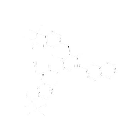 CC(=O)N(C(=O)[C@H](Cc1ccc(C(F)(F)P(=O)(O)O)cc1)NC(=O)[C@H](C)N)[C@@H](Cc1ccc(C(F)(F)P(=O)(O)O)cc1)C(=O)Nc1ccc2ccccc2c1